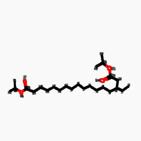 CCC(CCCCCCCCCCCCCC(=O)OC(C)C)CC(=O)OC(C)C